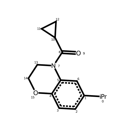 CC(C)c1ccc2c(c1)N(C(=O)C1CC1)CCO2